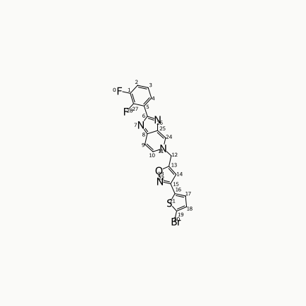 Fc1cccc(-c2nc3ccn(Cc4cc(-c5ccc(Br)s5)no4)cc-3n2)c1F